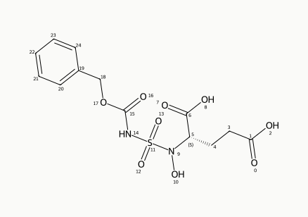 O=C(O)CC[C@@H](C(=O)O)N(O)S(=O)(=O)NC(=O)OCc1ccccc1